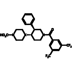 O=C(O)N1CCN([C@H]2CCN(C(=O)c3cc(C(F)(F)F)cc(C(F)(F)F)c3)C[C@@H]2c2ccccc2)CC1